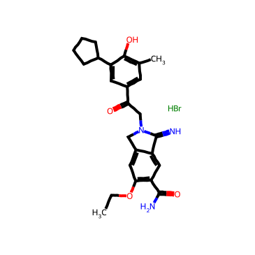 Br.CCOc1cc2c(cc1C(N)=O)C(=N)N(CC(=O)c1cc(C)c(O)c(C3CCCC3)c1)C2